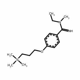 CCN(C)C(=N)c1ccc(OCCC[Si](C)(C)C)cc1